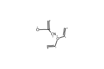 C=C(Cl)C#N.C=COC=C